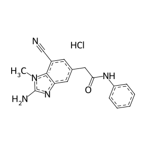 Cl.Cn1c(N)nc2cc(CC(=O)Nc3ccccc3)cc(C#N)c21